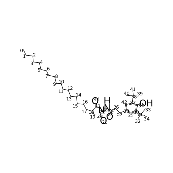 CCCCCCCCCCCCCCCCCCC1CC(=O)N(NC(=O)CCc2cc(C(C)(C)C)c(O)c(C(C)(C)C)c2)C1=O